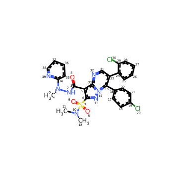 CN(NC(=O)c1c(S(=O)(=O)N(C)C)nn2c(-c3ccc(Cl)cc3)c(-c3ccccc3Cl)cnc12)c1ccccn1